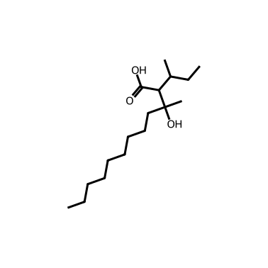 CCCCCCCCCC(C)(O)C(C(=O)O)C(C)CC